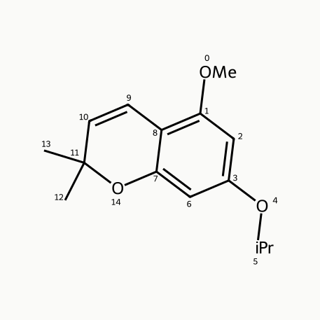 COc1cc(OC(C)C)cc2c1C=CC(C)(C)O2